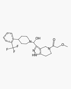 COCC(=O)N1CCc2[nH]nc(C(O)N3CCC(c4ccccc4C(F)(F)F)CC3)c2C1